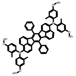 CCCOc1ccc(N(c2ccc(OCCC)cc2C)c2ccc3c4c(-c5ccccc5)c5c6cccc7c(N(c8ccc(OCCC)cc8C)c8ccc(OCCC)cc8C)ccc(c5c(-c5ccccc5)c4c4cccc2c43)c76)c(C)c1